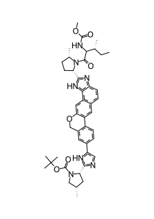 CC[C@@H](C)C(NC(=O)OC)C(=O)N1[C@@H](C)CC[C@H]1c1nc2ccc3cc4c(cc3c2[nH]1)OCc1cc(-c2cnc([C@@H]3C[C@H](C)CN3C(=O)OC(C)(C)C)[nH]2)ccc1-4